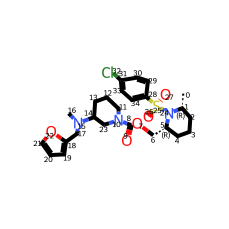 C[C@@H]1CCC[C@H](COC(=O)N2CCCC(N(C)Cc3ccco3)C2)N1S(=O)(=O)c1ccc(Cl)cc1